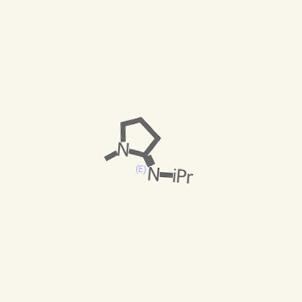 CC(C)/N=C1\CCCN1C